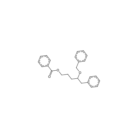 O=C(OCCCC(Cc1ccccc1)OCc1ccccc1)c1ccccc1